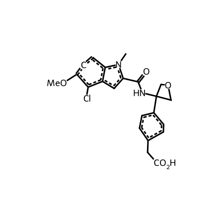 COc1ccc2c(cc(C(=O)NC3(c4ccc(CC(=O)O)cc4)COC3)n2C)c1Cl